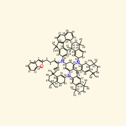 C=C/C(=C\CCc1cc2ccccc2o1)N(c1ccc2c(c1)C(C)(C)c1ccc3ccccc3c1-2)C1C=C2C3=C(C1)N(C1C=C4C(=CC1)C(C)(C)CCC4(C)C)C1=C(C=C4C(C1)C(C)(C)CCC4(C)C)B3c1cc3c(cc1N2C1=CC2=C(CC1)C(C)(C)CCC2(C)C)C(C)(C)CCC3(C)C